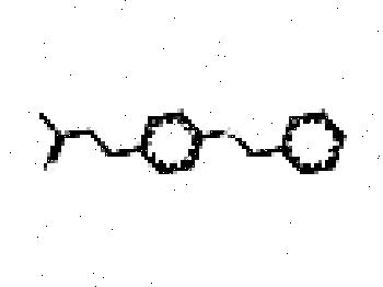 CC(=O)CCc1ccc(OCc2ccccc2)cc1